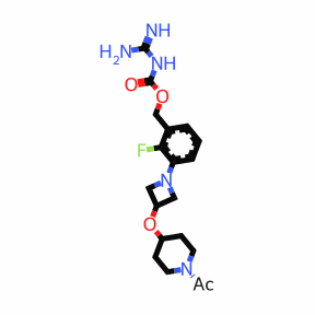 CC(=O)N1CCC(OC2CN(c3cccc(COC(=O)NC(=N)N)c3F)C2)CC1